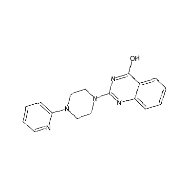 Oc1nc(N2CCN(c3ccccn3)CC2)nc2ccccc12